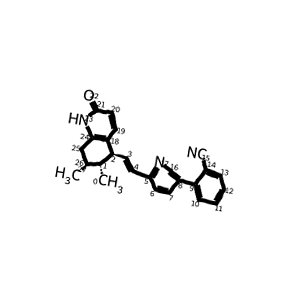 C[C@H]1[C@H](/C=C/c2ccc(-c3ccccc3C#N)cn2)c2ccc(=O)[nH]c2C[C@@H]1C